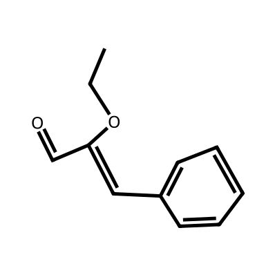 CCOC(C=O)=Cc1ccccc1